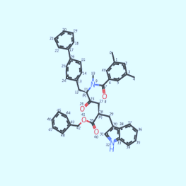 Cc1cc(C)cc(C(=O)N(C)[C@H](Cc2ccc(-c3ccccc3)cc2)C(=O)C[C@@H](Cc2c[nH]c3ccccc23)C(=O)OCc2ccccc2)c1